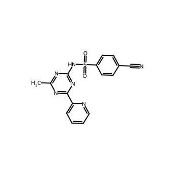 Cc1nc(NS(=O)(=O)c2ccc(C#N)cc2)nc(-c2ccccn2)n1